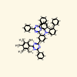 Bc1c(B)c(B)c(-c2nc(-c3ccccc3)nc(-c3ccc(-n4c5ccccc5c5c(-c6ccccc6)cccc54)c(-c4nc(-c5ccccc5)nc(-c5ccccc5)n4)c3)n2)c(B)c1B